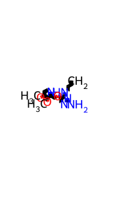 C=CCCNc1nc(N)ncc1OCc1nccc(OC)c1OC